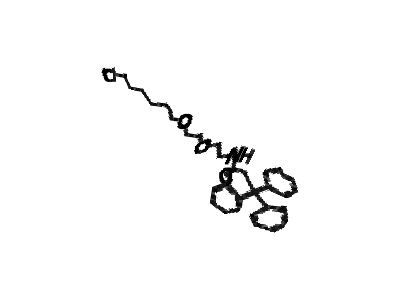 O=C(CC(c1ccccc1)(c1ccccc1)c1ccccc1)NCCOCCOCCCCCCCl